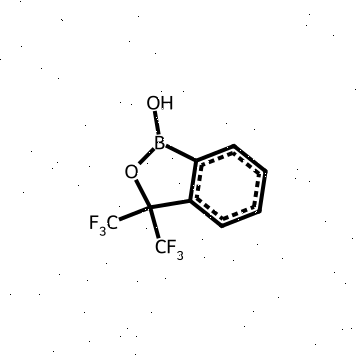 OB1OC(C(F)(F)F)(C(F)(F)F)c2ccccc21